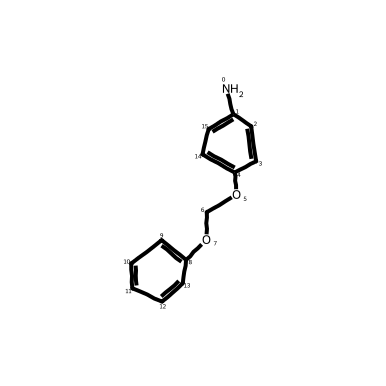 Nc1ccc(OCOc2ccccc2)cc1